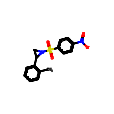 Cc1ccccc1C1CN1S(=O)(=O)c1ccc([N+](=O)[O-])cc1